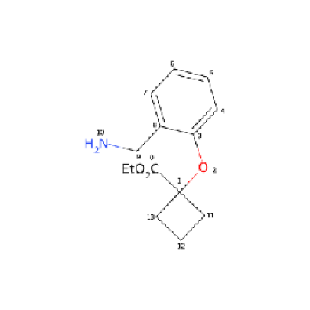 CCOC(=O)C1(Oc2ccccc2CN)CCC1